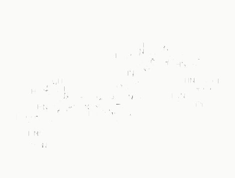 CC(C)[C@H](N)C(=O)N[C@@H](CO)C(=O)NCC(=O)N1CCC[C@H]1C(=O)N[C@@H](C)C(=O)NCC(=O)N1CCC[C@H]1C(=O)N1CCC[C@H]1C(=O)NCC(=O)N[C@H](C(=O)N[C@@H](Cc1cnc[nH]1)C(=O)O)[C@@H](C)O